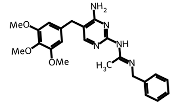 COc1cc(Cc2cnc(N/C(C)=N/Cc3ccccc3)nc2N)cc(OC)c1OC